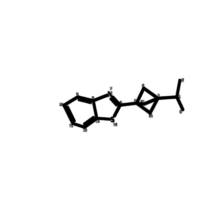 CC(C)C12CC(c3nc4ccccc4s3)(C1)C2